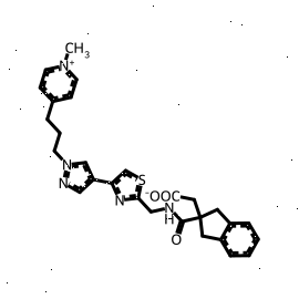 C[n+]1ccc(CCCn2cc(-c3csc(CNC(=O)C4(CC(=O)[O-])Cc5ccccc5C4)n3)cn2)cc1